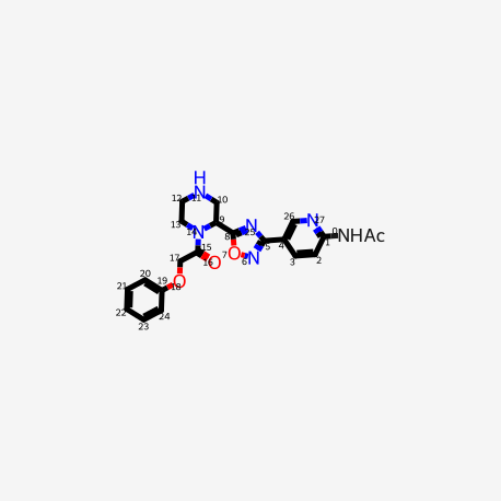 CC(=O)Nc1ccc(-c2noc(C3CNCCN3C(=O)COc3ccccc3)n2)cn1